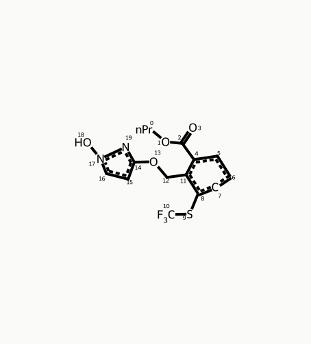 CCCOC(=O)c1cccc(SC(F)(F)F)c1COc1ccn(O)n1